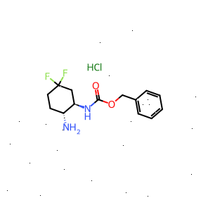 Cl.N[C@@H]1CCC(F)(F)C[C@H]1NC(=O)OCc1ccccc1